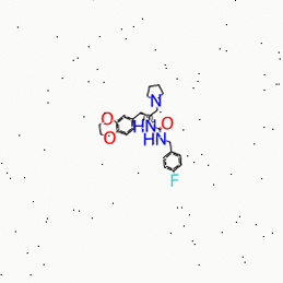 O=C(NCc1ccc(F)cc1)N[C@@H](Cc1ccc2c(c1)OCCO2)CN1CCCC1